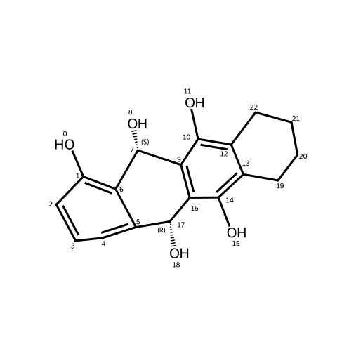 Oc1cccc2c1[C@H](O)c1c(O)c3c(c(O)c1[C@@H]2O)CCCC3